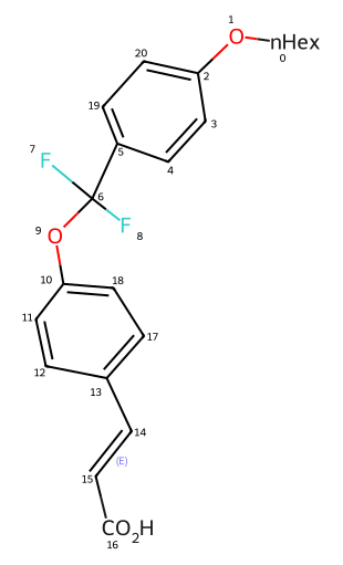 CCCCCCOc1ccc(C(F)(F)Oc2ccc(/C=C/C(=O)O)cc2)cc1